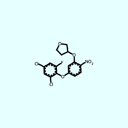 O=[N+]([O-])c1ccc(Oc2c(F)cc(Cl)cc2Cl)cc1OC1CCOC1